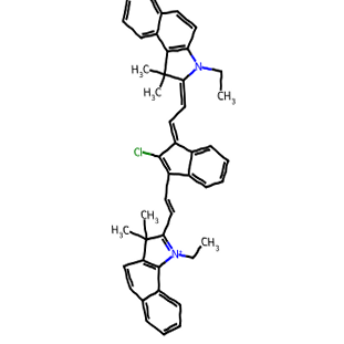 CCN1/C(=C/C=C2C(Cl)=C(/C=C/C3=[N+](CC)c4c(ccc5ccccc45)C3(C)C)c3ccccc3/2)C(C)(C)c2c1ccc1ccccc21